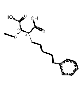 CO[C@H](C(=O)O)[C@@H](CCCCCc1ccccc1)C(=O)O